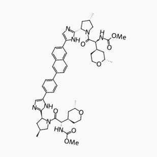 COC(=O)N[C@H](C(=O)N1C[C@@H](C)C[C@H]1c1ncc(-c2ccc(-c3ccc4cc(-c5cnc([C@@H]6C[C@H](C)CN6C(=O)[C@@H](NC(=O)OC)[C@@H]6CCO[C@@H](C)C6)[nH]5)ccc4c3)cc2)[nH]1)[C@@H]1CCO[C@@H](C)C1